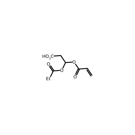 C=CC(=O)OC(CC(=O)O)OC(=O)CC